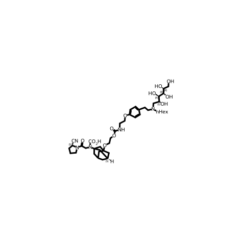 CCCCCCN(CCc1ccc(OCCNC(=O)OCCOC23CC4C[C@H](C2)CC(N(CC(=O)N2CCC[C@H]2C#N)C(=O)O)(C4)C3)cc1)C[C@H](O)[C@@H](O)[C@H](O)[C@H](O)CO